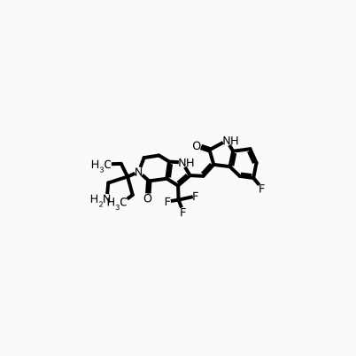 CCC(CC)(CN)N1CCc2[nH]c(C=C3C(=O)Nc4ccc(F)cc43)c(C(F)(F)F)c2C1=O